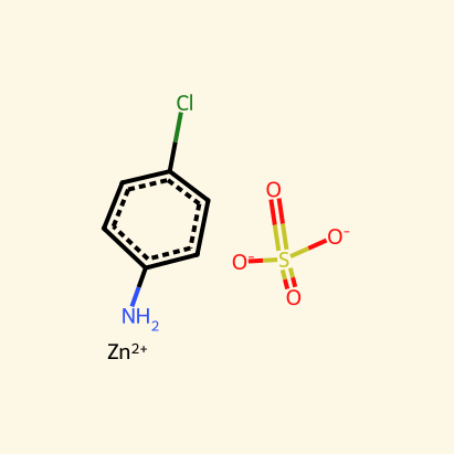 Nc1ccc(Cl)cc1.O=S(=O)([O-])[O-].[Zn+2]